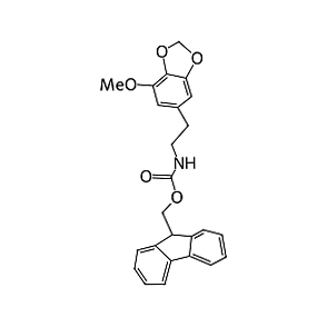 COc1cc(CCNC(=O)OCC2c3ccccc3-c3ccccc32)cc2c1OCO2